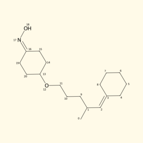 CC(C=C1CCCCC1)CCCOC1CCC(=NO)CC1